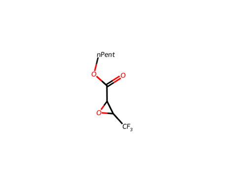 CCCCCOC(=O)C1OC1C(F)(F)F